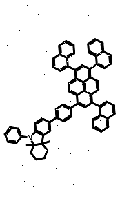 CC12CCCCC1(C)N(c1ccccc1)c1ccc(-c3ccc(-c4cc(-c5cccc6ccccc56)c5ccc6c(-c7cccc8ccccc78)cc(-c7cccc8ccccc78)c7ccc4c5c76)cc3)cc12